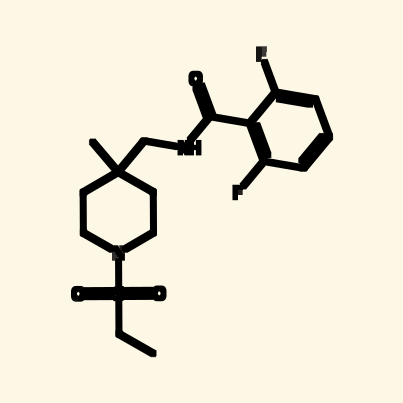 CCS(=O)(=O)N1CCC(C)(CNC(=O)c2c(F)cccc2F)CC1